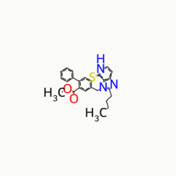 CCCCc1nc2cc[nH]c(=S)c2n1Cc1ccc(-c2ccccc2)c(C(=O)OC)c1